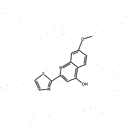 COc1ccc2c(O)cc(-c3nccs3)nc2c1